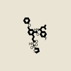 CC(C)CC(NC(=O)c1cc(COc2ccccc2)ccc1CCC(=O)NS(=O)(=O)c1cccs1)c1ccc(F)cc1